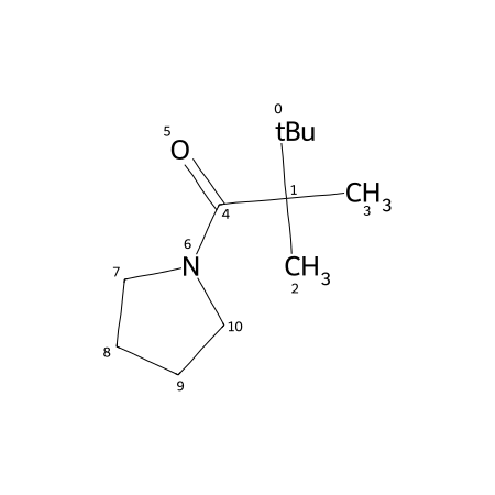 CC(C)(C)C(C)(C)C(=O)N1CCCC1